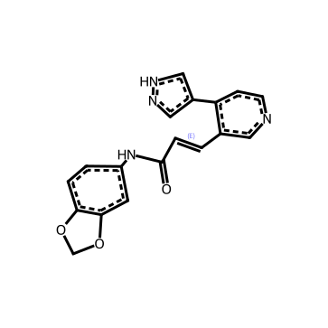 O=C(/C=C/c1cnccc1-c1cn[nH]c1)Nc1ccc2c(c1)OCO2